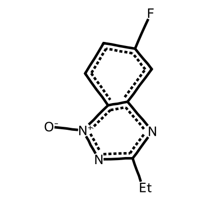 CCc1nc2cc(F)ccc2[n+]([O-])n1